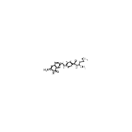 CCCC(C)NC(=O)c1ccc(NCc2cnc3nc(N)[nH]c(=O)c3n2)cc1